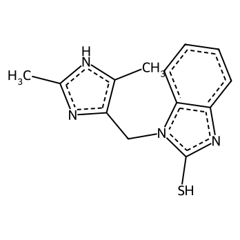 Cc1nc(Cn2c(S)nc3ccccc32)c(C)[nH]1